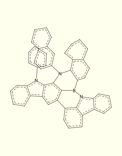 c1ccc(-n2c3ccccc3c3cc4c5c(c32)N(c2ccc3ccccc3c2)c2c(ccc3ccccc23)B5n2c3ccccc3c3cccc-4c32)cc1